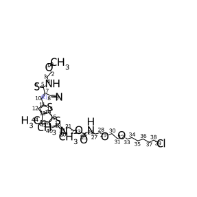 COCCNC(=S)/C(C#N)=C/c1cc2c(s1)-c1sc(N(C)CCOC(=O)NCCOCCOCCCCCCCl)cc1C2(C)C